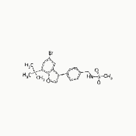 CC(C)(C)c1cc(Br)cc2c(-c3ccc(CNS(C)(=O)=O)cc3)coc12